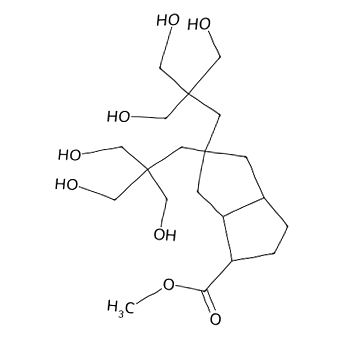 COC(=O)C1CCC2CC(CC(CO)(CO)CO)(CC(CO)(CO)CO)CC21